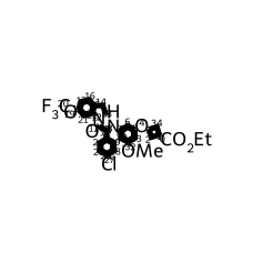 CCOC(=O)C1CC(Oc2cc(N[C@H](C(=O)N3CCc4ccc(OC(F)(F)F)cc43)c3ccc(Cl)cc3)cc(OC)c2)C1